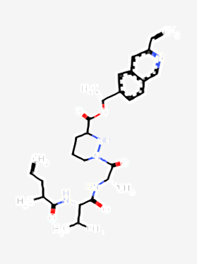 C=CCC(C)C(=O)N[C@H](C(=O)N[C@@H](C)C(=O)N1CCCC(C(=O)O[C@H](C)c2ccc3cnc(C=C)cc3c2)N1)C(C)C